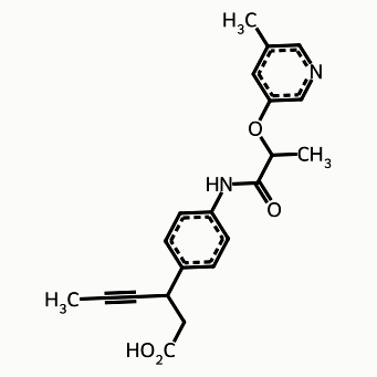 CC#CC(CC(=O)O)c1ccc(NC(=O)C(C)Oc2cncc(C)c2)cc1